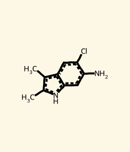 Cc1[nH]c2cc(N)c(Cl)cc2c1C